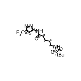 CC(C)(C)S(=O)(=O)NCCCCC(=O)Nc1nnc(C(F)(F)F)s1